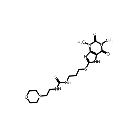 Cn1c(=O)c2[nH]c(SCCCNC(=S)NCCN3CCOCC3)nc2n(C)c1=O